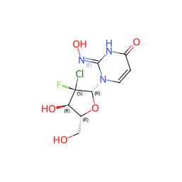 O=c1ccn([C@@H]2O[C@H](CO)[C@@H](O)[C@]2(F)Cl)/c(=N/O)[nH]1